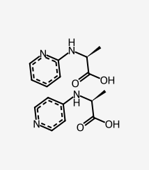 C[C@H](Nc1ccccn1)C(=O)O.C[C@H](Nc1ccncc1)C(=O)O